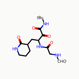 CC(C)(C)NC(=O)C(=O)C(CC1CCCNC1=O)NC(=O)CNC=O